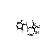 Cc1cccc(C)c1CNc1c(NC(C)(C)C)c(=O)c1=O